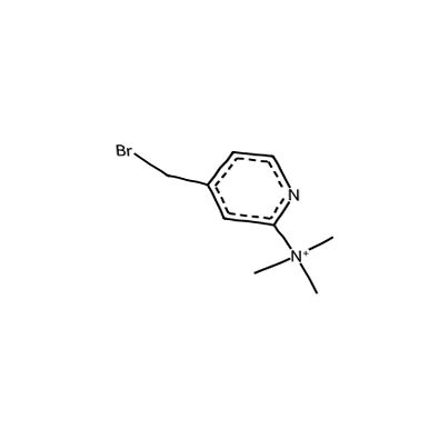 C[N+](C)(C)c1cc(CBr)ccn1